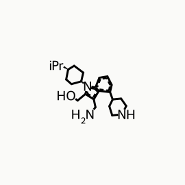 CC(C)[C@H]1CC[C@@H](n2c(CO)c(CN)c3c(C4CCNCC4)cccc32)CC1